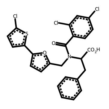 O=C(O)C(Cc1ccccc1)N(Cc1ccc(-c2ccc(Cl)s2)o1)C(=O)c1ccc(Cl)cc1Cl